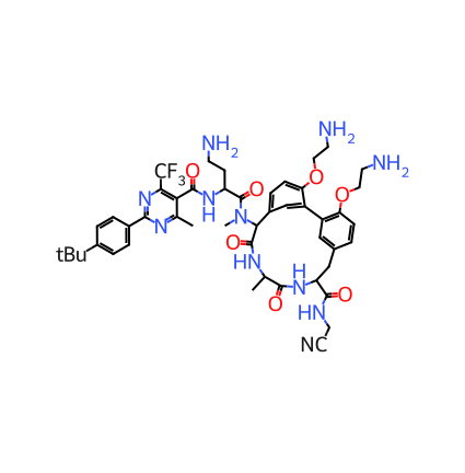 Cc1nc(-c2ccc(C(C)(C)C)cc2)nc(C(F)(F)F)c1C(=O)NC(CCN)C(=O)N(C)C1C(=O)NC(C)C(=O)NC(C(=O)NCC#N)Cc2ccc(OCCN)c(c2)-c2cc1ccc2OCCN